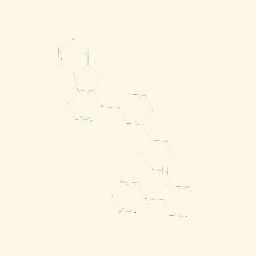 C1=CN2B(C=C1c1cccc(-c3cccc4c3sc3ccccc34)c1)c1ccccc1-c1ccccc12